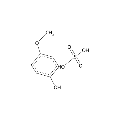 COc1ccc(O)cc1.O=S(=O)(O)O